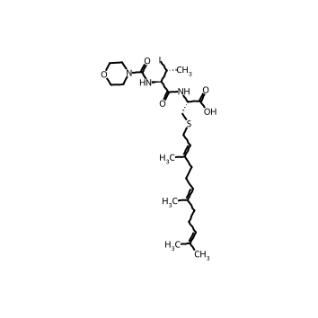 CC(C)=CCC/C(C)=C/CC/C(C)=C/CSC[C@H](NC(=O)[C@@H](NC(=O)N1CCOCC1)[C@@H](C)I)C(=O)O